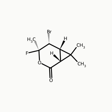 CC1(C)[C@@H]2[C@H]1C(=O)O[C@@](C)(F)[C@@H]2Br